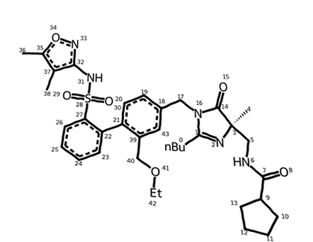 CCCCC1=N[C@](C)(CNC(=O)C2CCCC2)C(=O)N1Cc1ccc(-c2ccccc2S(=O)(=O)Nc2noc(C)c2C)c(COCC)c1